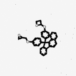 c1ccc2c(c1)-c1ccc3ccccc3c1C2(c1ccc(OCC2CO2)cc1)c1ccc(OC2CCO2)cc1